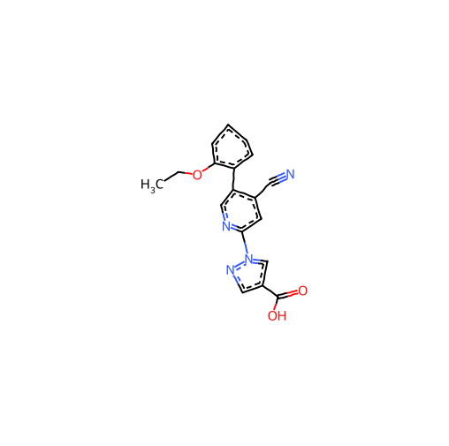 CCOc1ccccc1-c1cnc(-n2cc(C(=O)O)cn2)cc1C#N